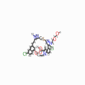 COCCOCCn1nc2c(c1C)-c1c(Cl)ccc3c1c(C)c(C(=O)OC)n3CCCOc1cc(cc3cc(Cl)ccc13)CCc1cc(nn1C)CSC2